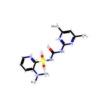 COc1cc(C)nc(NC(=O)NS(=O)(=O)c2ncccc2N(C)C)n1